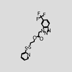 O=C(Cn1nnc2ccc(C(F)(F)F)cc21)OCCSSc1ccccn1